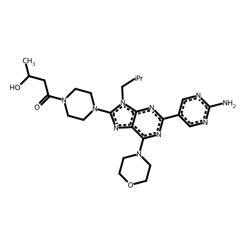 CC(C)Cn1c(N2CCN(C(=O)CC(C)O)CC2)nc2c(N3CCOCC3)nc(-c3cnc(N)nc3)nc21